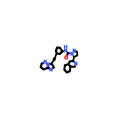 O=C(Nc1cccc(C#Cc2cnc3cccnn23)c1)N1N=CCC1c1cc2ccccc2cn1